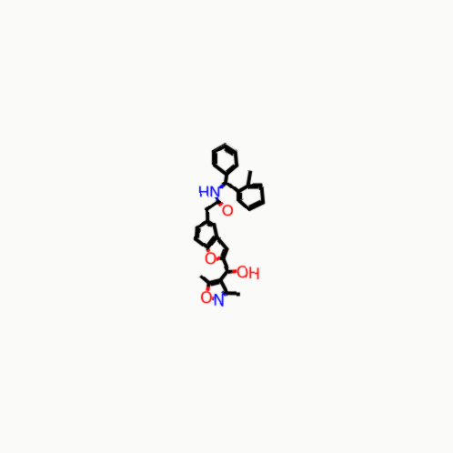 Cc1ccccc1C(NC(=O)Cc1ccc2oc(C(O)c3c(C)noc3C)cc2c1)c1ccccc1